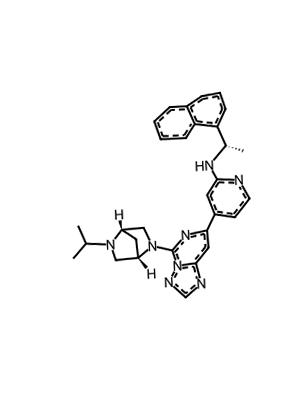 CC(C)N1C[C@@H]2C[C@H]1CN2c1nc(-c2ccnc(N[C@@H](C)c3cccc4ccccc34)c2)cc2ncnn12